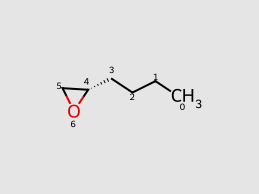 CCCC[C@H]1CO1